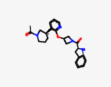 CC(=O)N1CCC[C@H](c2cccnc2OC2CN(C(=O)C3Cc4ccccc4N3)C2)C1